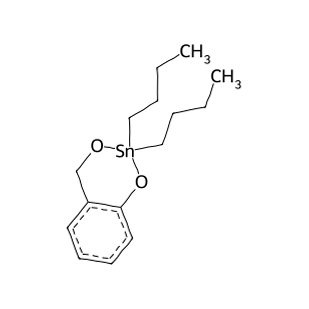 CCC[CH2][Sn]1([CH2]CCC)[O]Cc2ccccc2[O]1